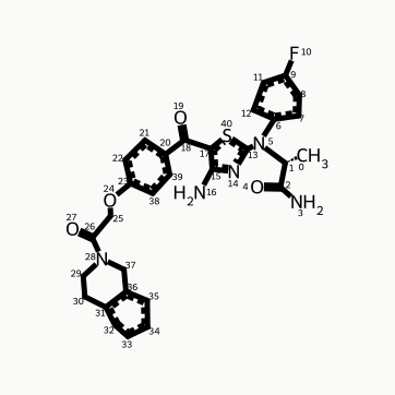 C[C@H](C(N)=O)N(c1ccc(F)cc1)c1nc(N)c(C(=O)c2ccc(OCC(=O)N3CCc4ccccc4C3)cc2)s1